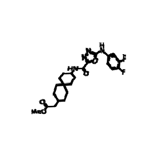 COC(=O)CC1CCC2(CC1)CCC(NC(=O)c1nnc(Nc3ccc(F)c(F)c3)o1)CC2